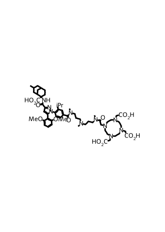 COc1cccc(OC)c1-c1cc(C(=O)NC2(C(=O)O)CCC3CC(C)CC2C3)nn1-c1ccc(C(=O)N(C)CCCN(C)CCCN(C)C(=O)CN2CCN(CC(=O)O)CCN(CC(=O)O)CCN(CC(=O)O)CC2)cc1C(C)C